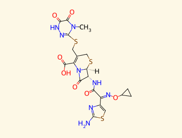 Cn1c(SCC2=C(C(=O)O)N3C(=O)[C@@H](NC(=O)C(=NOC4CC4)c4csc(N)n4)[C@@H]3SC2)n[nH]c(=O)c1=O